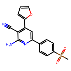 CS(=O)(=O)c1ccc(-c2cc(-c3ccco3)c(C#N)c(N)n2)cc1